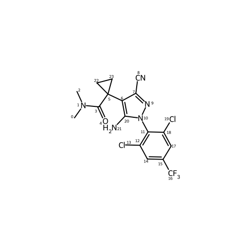 CN(C)C(=O)C1(c2c(C#N)nn(-c3c(Cl)cc(C(F)(F)F)cc3Cl)c2N)CC1